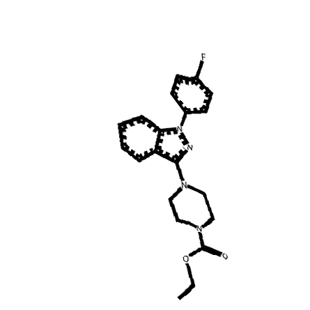 CCOC(=O)N1CCN(c2nn(-c3ccc(F)cc3)c3ccccc23)CC1